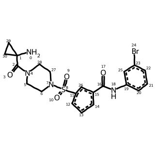 NC1(C(=O)N2CCN(S(=O)(=O)c3cccc(C(=O)Nc4cccc(Br)c4)c3)CC2)CC1